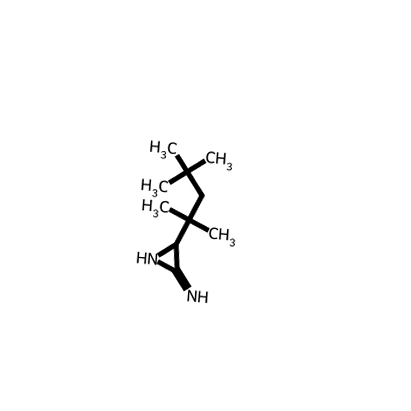 CC(C)(C)CC(C)(C)C1NC1=N